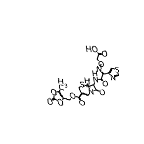 Cc1oc(=O)oc1COC(=O)C1=CN2C(=O)C(NC(=O)C(=NOCC(=O)O)c3cscn3)[C@H]2SC1